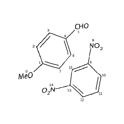 COc1ccc(C=O)cc1.O=[N+]([O-])c1cccc([N+](=O)[O-])c1